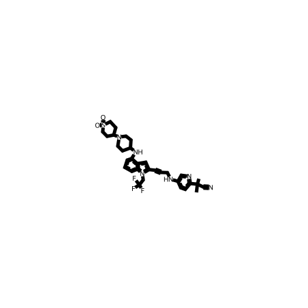 CC(C)(C#N)c1ccc(NCC#Cc2cc3c(NC4CCN(C5CCS(=O)(=O)CC5)CC4)cccc3n2CC(F)(F)F)cn1